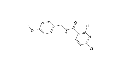 COc1ccc(CNC(=O)c2cnc(Cl)nc2Cl)cc1